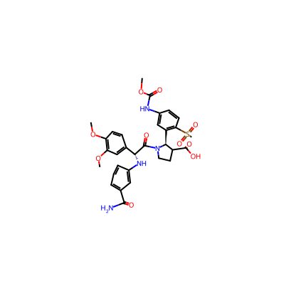 COC(=O)Nc1ccc(S(C)(=O)=O)c([C@H]2C(C(=O)O)CCN2C(=O)[C@H](Nc2cccc(C(N)=O)c2)c2ccc(OC)c(OC)c2)c1